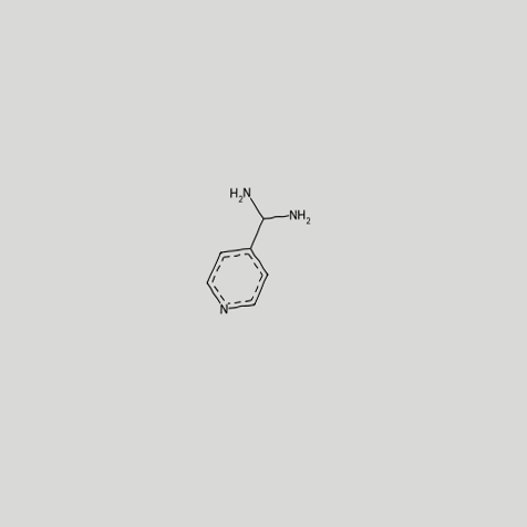 NC(N)c1ccncc1